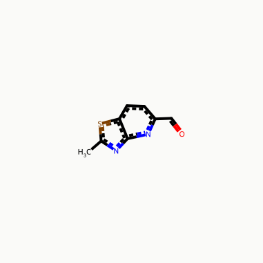 Cc1nc2nc(C=O)ccc2s1